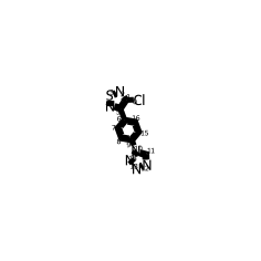 Clc1nsnc1-c1ccc(-n2cnnn2)cc1